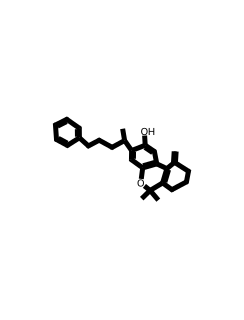 C=C1CCCC2=C1c1cc(O)c(C(C)CCCc3ccccc3)cc1OC2(C)C